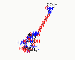 CCC(=O)N[C@H](C(=O)NCC(=O)N[C@H]1C[S+]([O-])c2[nH]c3c(CSCCCCNC(=O)NCCOCCOCCOCCOCCOCCOCCOCCn4cc(CNC(=O)CCC(=O)O)nn4)c(O)ccc3c2C[C@@H](C(N)=O)NC(=O)[C@H]([C@@H](C)[C@@H](O)CO)NC(=O)[C@@H]2C[C@@H](O)CN2C(=O)[C@H](CC(N)=O)NC1=O)[C@@H](C)CC